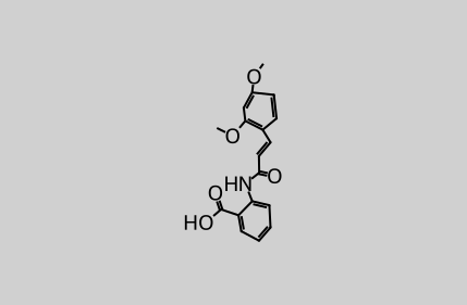 COc1ccc(/C=C/C(=O)Nc2ccccc2C(=O)O)c(OC)c1